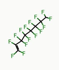 F[C](F)C(F)(F)C(F)(F)C(F)(F)C(F)(F)C(F)(F)C(F)=C(F)F